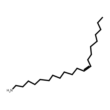 CCCCCCCC/C=C\CCCCCCCC[CH]CCN